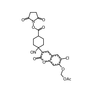 CC(=O)OCOc1cc2oc(=O)c(C3(N=O)CCC(C(=O)ON4C(=O)CCC4=O)CC3)cc2cc1Cl